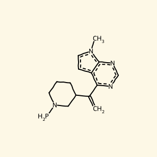 C=C(c1ncnc2c1ccn2C)C1CCCN(P)C1